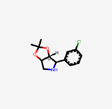 CC1(C)OC2CNC(c3cccc(Cl)c3)[C@H]2O1